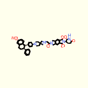 O=C1CC[C@@H](N2C(=O)c3cc4c(cc3C2=O)CN(C(=O)CN2CC3(CCN(c5ccc([C@@H]6c7ccc(O)cc7CC[C@@H]6c6ccccc6)cc5)CC3)C2)C4)C(=O)N1